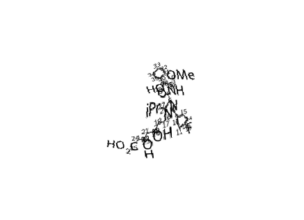 COC[C@H](NC(=O)c1nc(-c2ccc(F)cc2)n(CC[C@@H](O)C[C@@H](O)CC(=O)O)c1C(C)C)[C@@H](O)c1ccccc1